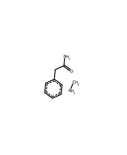 CN.NC(=O)Cc1ccccc1